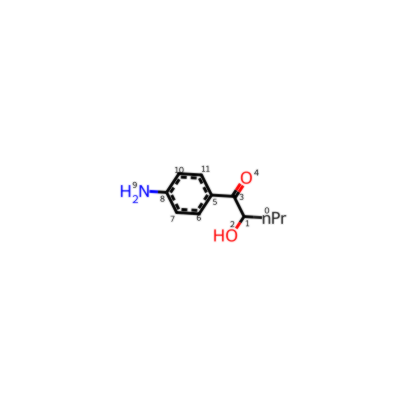 [CH2]CCC(O)C(=O)c1ccc(N)cc1